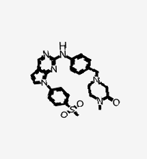 CN1CCN(Cc2ccc(Nc3ncc4ccn(-c5ccc(S(C)(=O)=O)cc5)c4n3)cc2)CC1=O